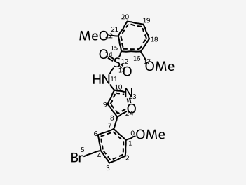 COc1ccc(Br)cc1-c1cc(NS(=O)(=O)c2c(OC)cccc2OC)no1